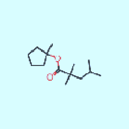 CC(C)CC(C)(C)C(=O)OC1(C)CCCC1